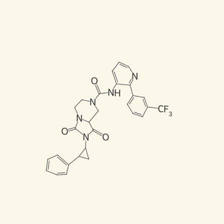 O=C(Nc1cccnc1-c1cccc(C(F)(F)F)c1)N1CCN2C(=O)N(C3CC3c3ccccc3)C(=O)C2C1